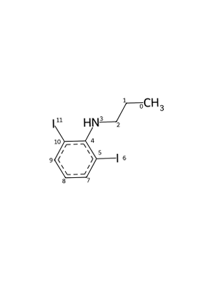 CCCNc1c(I)cccc1I